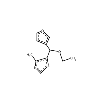 CCOC(c1ccoc1)c1scnc1C